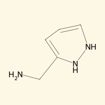 NCC1=CC=CNN1